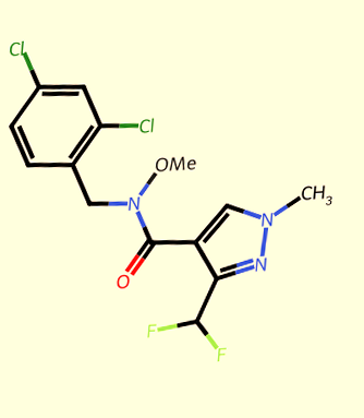 CON(Cc1ccc(Cl)cc1Cl)C(=O)c1cn(C)nc1C(F)F